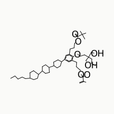 C=C(C)C(=O)OCCCc1cc(C2CCC(C3CCC(C4CCC(CCCCC)CC4)CC3)CC2)cc(CCCOC(=O)C(C)(C)C)c1OCCC(CO)(CO)CCC